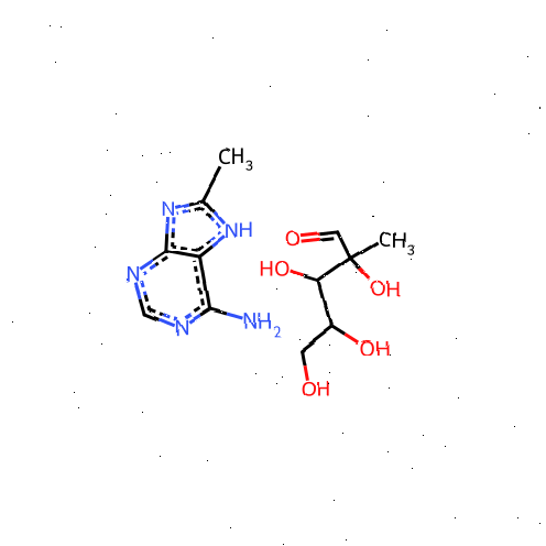 CC(O)(C=O)C(O)C(O)CO.Cc1nc2ncnc(N)c2[nH]1